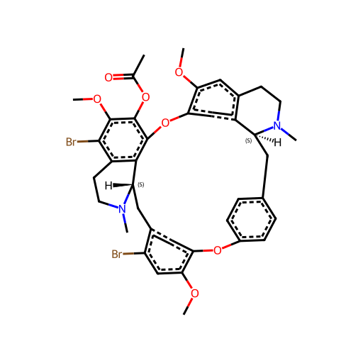 COc1cc(Br)c2cc1Oc1ccc(cc1)C[C@H]1c3cc(c(OC)cc3CCN1C)Oc1c(OC(C)=O)c(OC)c(Br)c3c1[C@H](C2)N(C)CC3